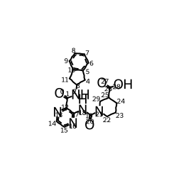 O=C(NC1Cc2ccccc2C1)c1nccnc1NC(=O)N1CCCC(C(=O)O)C1